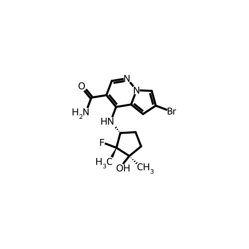 C[C@@]1(O)CC[C@@H](Nc2c(C(N)=O)cnn3cc(Br)cc23)[C@@]1(C)F